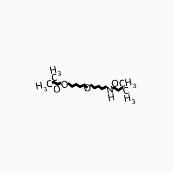 CC(C)CC(=O)NCCCCCOCCCCCOCC(=O)C(C)C